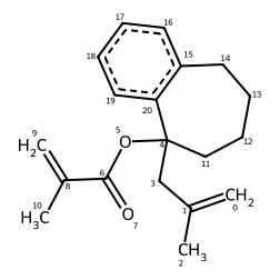 C=C(C)CC1(OC(=O)C(=C)C)CCCCc2ccccc21